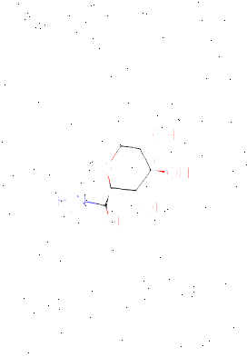 NC(O)[C@H]1OC[C@H](O)[C@@H](O)[C@@H]1O